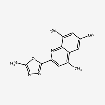 Cc1cc(-c2nnc(N)o2)nc2c(C(C)(C)C)cc(O)cc12